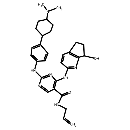 C=CCNC(=O)c1cnc(Nc2ccc(C3CCC(N(C)C)CC3)cc2)nc1Nc1ccc2c(n1)C(O)CC2